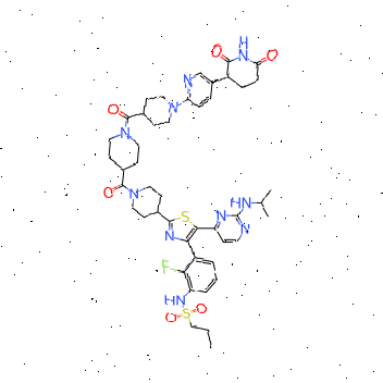 CCCS(=O)(=O)Nc1cccc(-c2nc(C3CCN(C(=O)C4CCN(C(=O)C5CCN(c6ccc([C@@H]7CCC(=O)NC7=O)cn6)CC5)CC4)CC3)sc2-c2ccnc(NC(C)C)n2)c1F